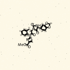 COC(=O)c1csc(NC(=O)[C@H](Cc2ccccc2)N2C(=O)NC(c3ccc4c(c3)OCO4)C2=O)n1